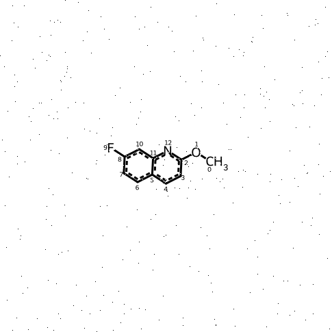 COc1ccc2ccc(F)cc2n1